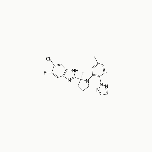 Cc1c[c]c(-n2nccn2)c(N2CCC[C@@]2(C)c2nc3cc(F)c(Cl)cc3[nH]2)c1